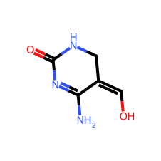 NC1=NC(=O)NCC1=CO